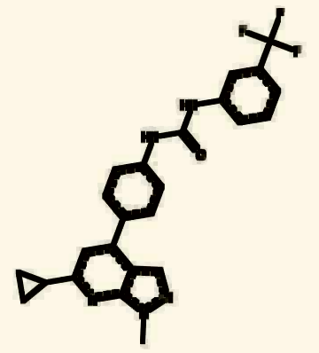 Cn1ncc2c(-c3ccc(NC(=O)Nc4cccc(C(F)(F)F)c4)cc3)cc(C3CC3)nc21